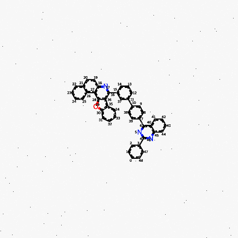 c1ccc(-c2nc(-c3ccc(-c4cccc(-c5nc6ccc7ccccc7c6c6oc7ccccc7c56)c4)cc3)c3ccccc3n2)cc1